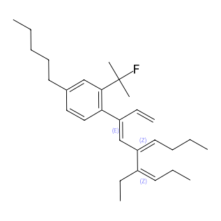 C=C\C(=C/C(=C/CCC)C(=C\CC)/CC)c1ccc(CCCCC)cc1C(C)(C)F